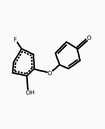 O=C1C=CC(Oc2cc(F)ccc2O)C=C1